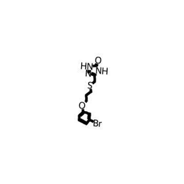 O=c1[nH]nc(CSCCCOc2cccc(Br)c2)[nH]1